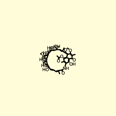 COC(=O)[C@H]1[C@H](O)[C@H](C)[C@@H](O)[C@](C)(O)/C=C(/C)C2=C3C(=C(C)C(=O)c4c(O)c(c(C)c(OC(C)=O)c43)NC(=O)/C(C)=C\C=C\[C@](C)(O)[C@@H](O)[C@@H](C)[C@H]1O)OCO2